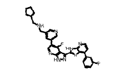 Fc1cccc(-c2ccnc3[nH]c(-c4n[nH]c5ncc(-c6cncc(CNCC7CCCC7)c6)c(F)c45)nc23)c1